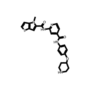 Cn1c(C(=O)Nc2cc(C(=O)Nc3ccc(OC4CCNCC4)cc3)ccn2)cc2sccc21